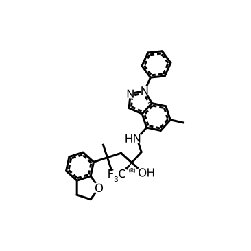 Cc1cc(NC[C@](O)(CC(C)(C)c2cccc3c2OCC3)C(F)(F)F)c2cnn(-c3ccccc3)c2c1